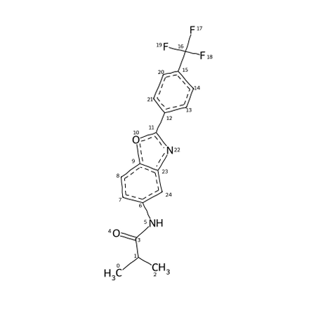 CC(C)C(=O)Nc1ccc2oc(-c3ccc(C(F)(F)F)cc3)nc2c1